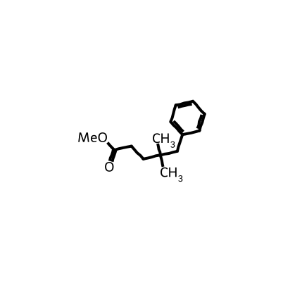 COC(=O)CCC(C)(C)Cc1ccccc1